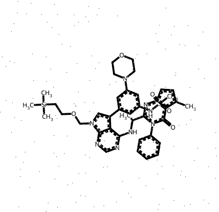 Cc1ccn2nc([C@H](C)Nc3ncnc4c3c(-c3cc(NS(C)(=O)=O)cc(N5CCOCC5)c3)cn4COCC[Si](C)(C)C)n(-c3ccccc3)c(=O)c12